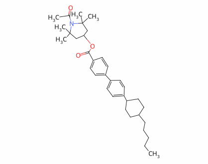 CCCCCC1CCC(c2ccc(-c3ccc(C(=O)OC4CC(C)(C)N(C(C)=O)C(C)(C)C4)cc3)cc2)CC1